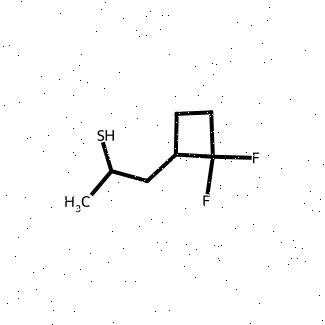 CC(S)CC1CCC1(F)F